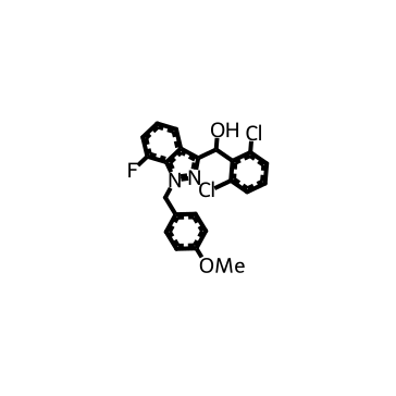 COc1ccc(Cn2nc(C(O)c3c(Cl)cccc3Cl)c3cccc(F)c32)cc1